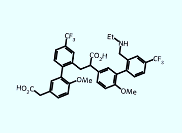 CCNCc1cc(C(F)(F)F)ccc1-c1cc(C(Cc2cc(C(F)(F)F)ccc2-c2cc(CC(=O)O)ccc2OC)C(=O)O)ccc1OC